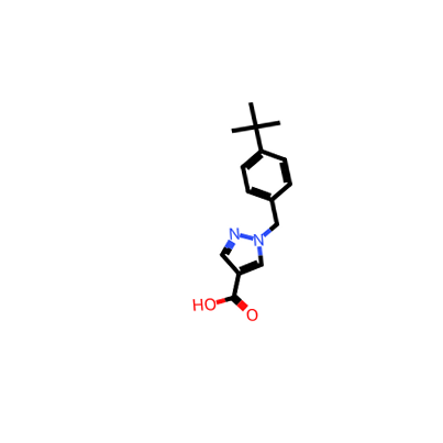 CC(C)(C)c1ccc(Cn2cc(C(=O)O)cn2)cc1